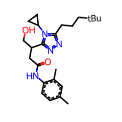 Cc1ccc(NC(=O)CC(CO)c2nnc(CCCC(C)(C)C)n2C2CC2)c(C)c1